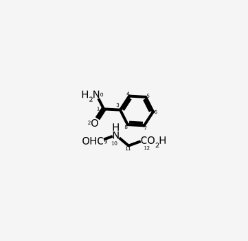 NC(=O)c1ccccc1.O=CNCC(=O)O